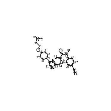 CN(C)CCOc1ccc(-c2cnc3cnc(C(=O)N(C)c4ccc(C#N)cc4)cn23)cc1